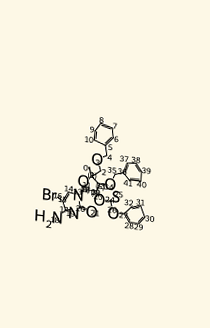 C[C@]1(COCc2ccccc2)O[C@@H](n2cc(Br)c(N)nc2=O)[C@H](OC(=S)Oc2ccccc2)[C@@H]1OCc1ccccc1